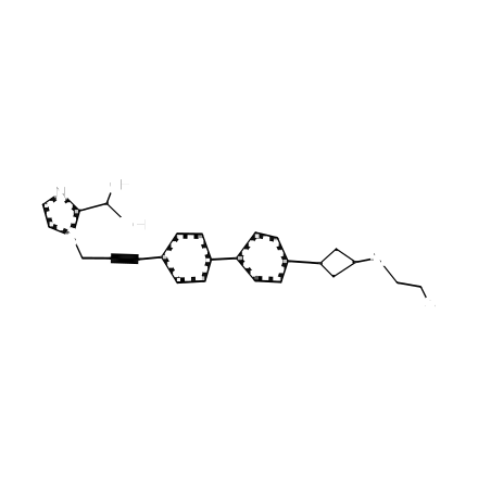 CC(O)c1nccn1CC#Cc1ccc(-c2ccc(C3CC(NCCO)C3)cc2)cc1